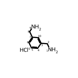 Cl.NCc1cccc(CN)c1